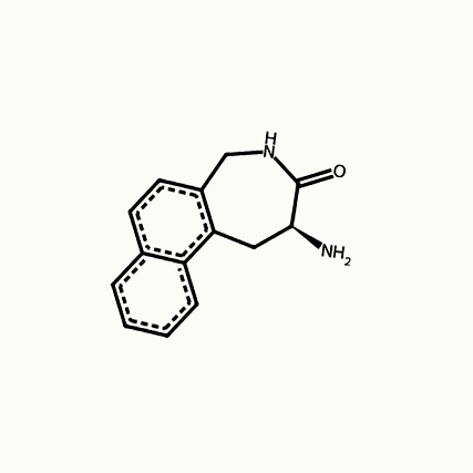 N[C@H]1Cc2c(ccc3ccccc23)CNC1=O